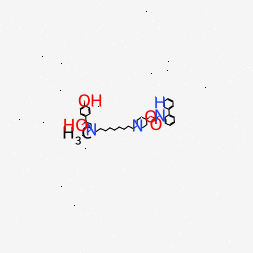 CN(CCCCCCCCCN1CCC(OC(=O)Nc2ccccc2-c2ccccc2)CC1)CC(O)c1ccc(O)cc1